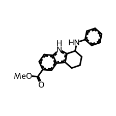 COC(=O)c1ccc2[nH]c3c(c2c1)CCCC3Nc1ccccc1